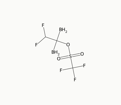 BC(B)(OS(=O)(=O)C(F)(F)F)C(F)F